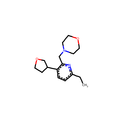 CCc1ccc(C2CCOC2)c(CN2CCOCC2)n1